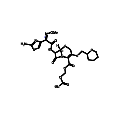 CO/N=C(\C(=O)NC1C(=O)N2C(C(=O)OCOC(=O)C(C)(C)C)=C(SCC3CCCCO3)CS[C@@H]12)c1csc(N)n1